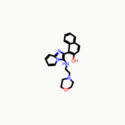 Oc1ccc2ccccc2c1-c1nc2ccccn2c1NCCN1CCOCC1